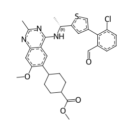 COC(=O)C1CCC(c2cc3c(N[C@H](C)c4cc(-c5c(Cl)cccc5C=O)cs4)nc(C)nc3cc2OC)CC1